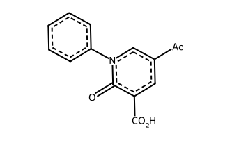 CC(=O)c1cc(C(=O)O)c(=O)n(-c2ccccc2)c1